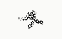 C=Cc1ccc(C2=CC3(C)c4cc(N(c5ccc(-c6ccccc6)cc5)c5ccc(-c6ccccc6)cc5)ccc4N(C4C=CC=CC4C)C3C=C2)cc1